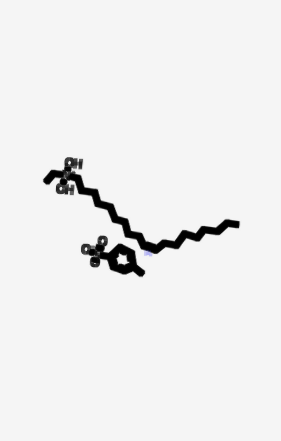 CCCCCCCC/C=C\CCCCCCCCC[N+](O)(O)CC.Cc1ccc(S(=O)(=O)[O-])cc1